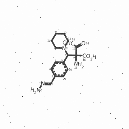 NN=Cc1ccc(C(N2CCCCC2)C(N)(C(=O)O)C(=O)C=O)cc1